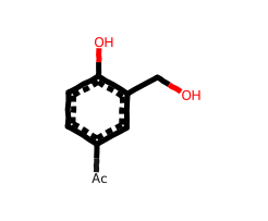 [CH2]C(=O)c1ccc(O)c(CO)c1